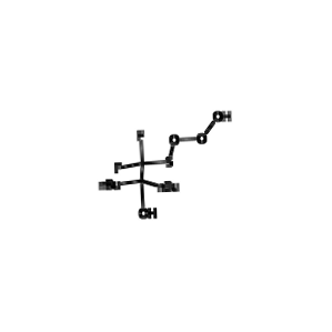 CCCCC(O)(CCCC)C(F)(F)SOOO